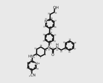 N#Cc1ccc(NC2CCC(N(C(=O)NCc3ccccc3)c3ccc(-c4ccc(CCO)nc4)cc3)CC2)nc1